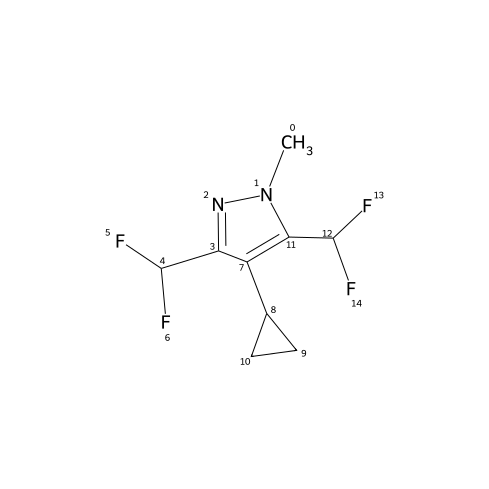 Cn1nc(C(F)F)c(C2CC2)c1C(F)F